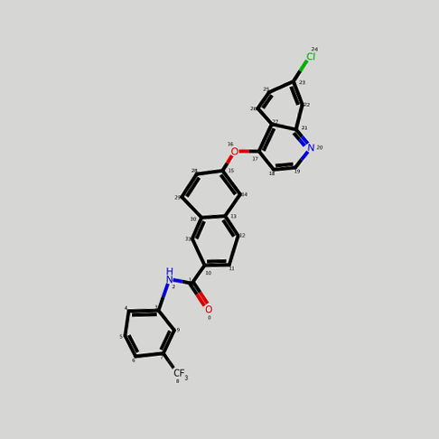 O=C(Nc1cccc(C(F)(F)F)c1)c1ccc2cc(Oc3ccnc4cc(Cl)ccc34)ccc2c1